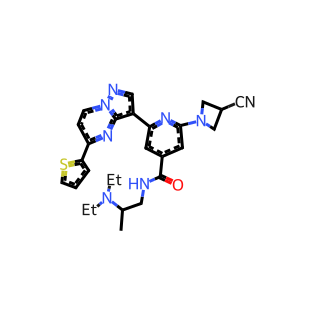 CCN(CC)C(C)CNC(=O)c1cc(-c2cnn3ccc(-c4cccs4)nc23)nc(N2CC(C#N)C2)c1